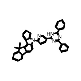 CC1(C)c2ccccc2-c2ccc3c(c21)c1ccccc1n3-c1ccc(C2N=C(c3ccccc3)N=C(c3ccccc3)N2)cn1